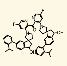 CC(C)c1ccccc1-c1ccc2c(c1)C1(CCN(c3cc(F)cnc3C(=O)c3ncc(F)cc3N3CCC4(CC(O)c5ccc(-c6ccccc6C(C)C)cc54)C3)C1)CC2O